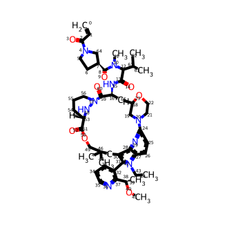 C=CC(=O)N1CC[C@H](C(=O)N(C)C(C(=O)N[C@H]2C[C@@H]3CN(CCO3)c3ccc4c(n3)c(c(-c3cccnc3[C@H](C)OC)n4CC)CC(C)(C)COC(=O)[C@@H]3CCCN(N3)C2=O)C(C)C)C1